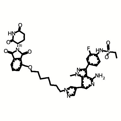 CCS(=O)(=O)Nc1ccc(-c2nn(C)c3c(-c4cnn(CCCCCCCOc5cccc6c5C(=O)N([C@H]5CCC(=O)NC5=O)C6=O)c4)cnc(N)c23)cc1F